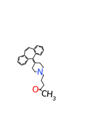 CC(=O)CCCN1CCC(=C2c3ccccc3C=Cc3ccccc32)CC1